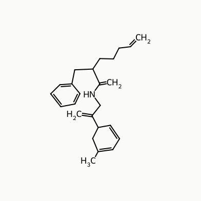 C=CCCCC(Cc1ccccc1)C(=C)NCC(=C)C1C=CC=C(C)C1